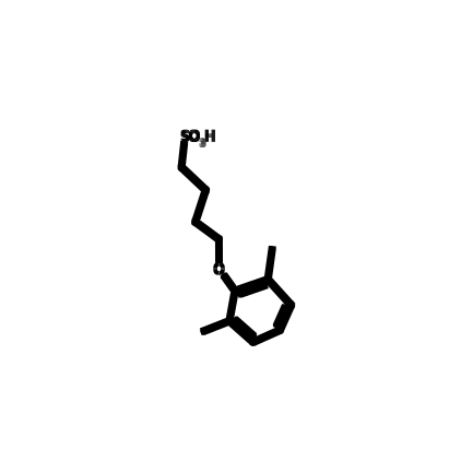 Cc1cccc(C)c1OCCCCS(=O)(=O)O